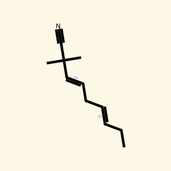 CC/C=C/C/C=C/C(C)(C)C#N